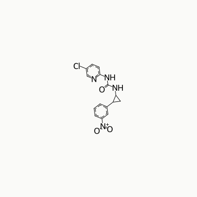 O=C(Nc1ccc(Cl)cn1)NC1CC1c1cccc([N+](=O)[O-])c1